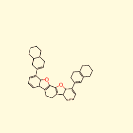 C1=CC2C3=C(OC2C(C2=CC4=C(CCCC4)CC2)=C1)C1=C(CC3)C2C=CC=C(C3=CCC4CCCCC4C3)C2O1